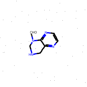 O=CN1CNCc2nccnc21